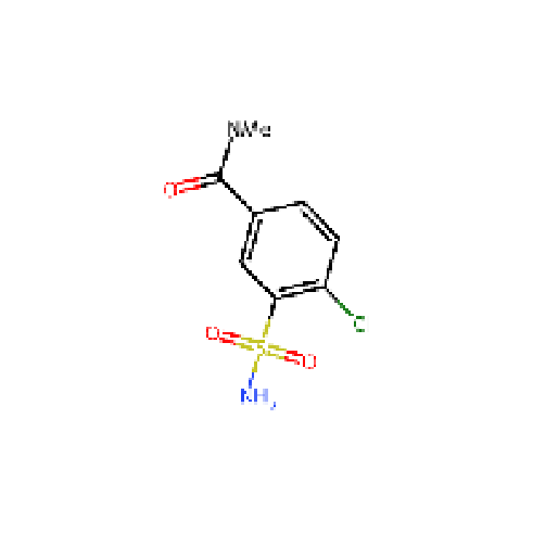 CNC(=O)c1ccc(Cl)c(S(N)(=O)=O)c1